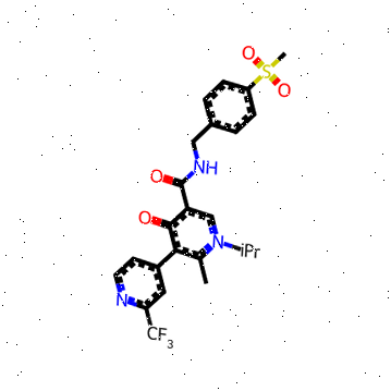 Cc1c(-c2ccnc(C(F)(F)F)c2)c(=O)c(C(=O)NCc2ccc(S(C)(=O)=O)cc2)cn1C(C)C